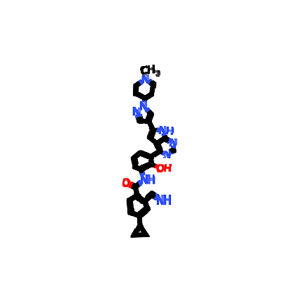 CN1CCC(n2cc(-c3cc4c(-c5cccc(NC(=O)c6ccc(C7CC7)cc6C=N)c5O)ncnc4[nH]3)cn2)CC1